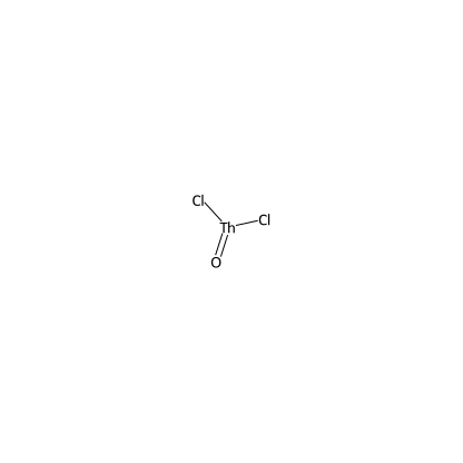 [O]=[Th]([Cl])[Cl]